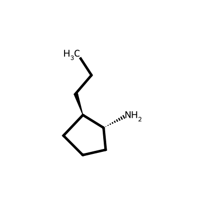 CCC[C@@H]1CCC[C@H]1N